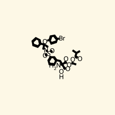 CC(OC(=O)C(C)C)OC(=O)C(N)(Cc1cccc(S(=O)(=O)N2CC(Oc3ccc(Br)cc3)(c3ccccc3)C2)c1)C(=O)O